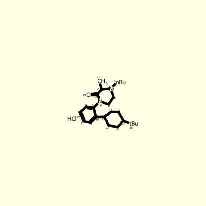 CCCCN1CCN(c2ccccc2C2CCC(C(C)(C)C)CC2)C(=O)C1C.Cl